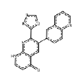 O=c1cc[nH]c2nc(-c3nnco3)c(-c3ccc4ncccc4c3)cc12